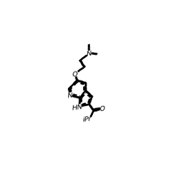 CC(C)C(=O)c1cc2cc(OCCN(C)C)cnc2[nH]1